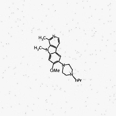 CCCN1CCN(c2cc3c4ccnc(C)c4n(C)c3cc2OC)CC1